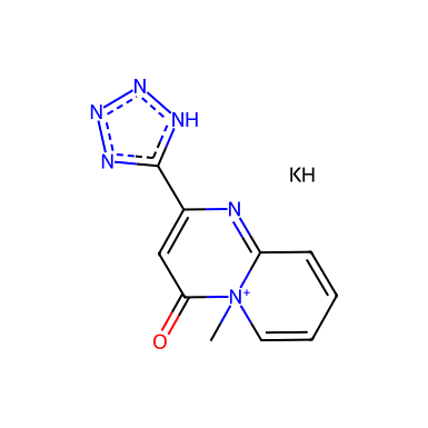 C[N+]12C=CC=CC1=NC(c1nnn[nH]1)=CC2=O.[KH]